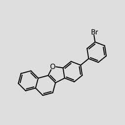 Brc1cccc(-c2ccc3c(c2)oc2c4ccccc4ccc32)c1